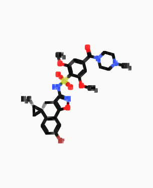 COc1cc(C(=O)N2CCN(C)CC2)cc(OC)c1S(=O)(=O)Nc1noc2c1C[C@@]1(C[C@@H]1C)c1ccc(Br)cc1-2